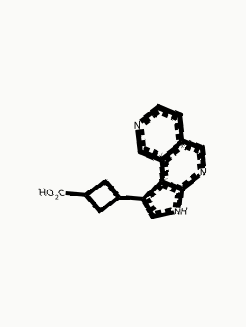 O=C(O)C1CC(c2c[nH]c3ncc4ccncc4c23)C1